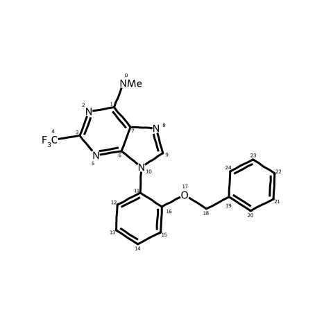 CNc1nc(C(F)(F)F)nc2c1ncn2-c1ccccc1OCc1ccccc1